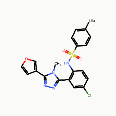 Cn1c(-c2ccoc2)nnc1-c1cc(Cl)ccc1NS(=O)(=O)c1ccc(C(C)(C)C)cc1